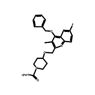 CCCCCC(=O)N1CCC(OCc2nc3ccc(F)cc3c(OCc3ccccc3)c2C)CC1